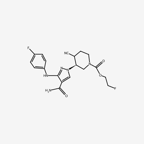 N#CC1CCN(C(=O)OCCF)C[C@H]1n1cc(C(N)=O)c(Nc2ccc(F)cc2)n1